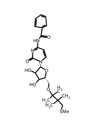 CSCC(C)(C)C(C)(C)OC[C@H]1O[C@@H](n2ccc(NC(=O)c3ccccc3)nc2=O)C(O)C1O